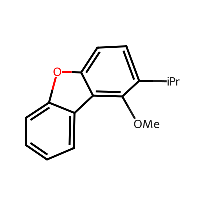 COc1c(C(C)C)ccc2oc3ccccc3c12